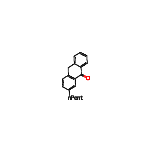 CCCCCc1ccc2c(c1)C(=O)c1ccccc1C2